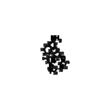 COc1cc(C)c(C2=C(c3ccc(O[C@H]4CCN(CCCF)C4)cc3)c3ccc(N)cc3CCC2)cn1